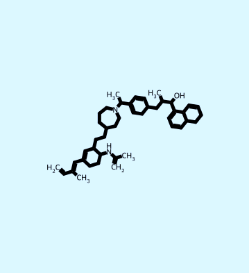 C=C/C(C)=C/C1=CC(CCC2CCCN(C(C)C3=CCC(CC(C)C(O)C4=CC=CC5CCC=CC45)C=C3)CC2)C(NC(=C)C)CC1